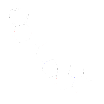 CC(C)N1C(=O)COC2(CCN(CC(O)C3COc4ccccc4O3)CC2)C1C